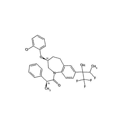 CC(F)C(O)(c1ccc2c(c1)CC[C@H](Oc1ccccc1Cl)CN2C(=O)[C@@H](C)c1ccccc1)C(F)(F)F